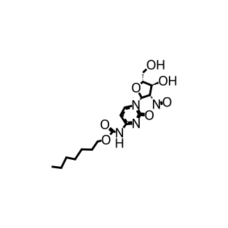 CCCCCCCOC(=O)Nc1ccn([C@@H]2O[C@H](CO)[C@@H](O)[C@@H]2N=O)c(=O)n1